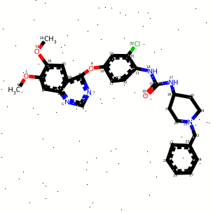 COc1cc2ncnc(Oc3ccc(NC(=O)NC4CCN(Cc5ccccc5)CC4)c(Cl)c3)c2cc1OC